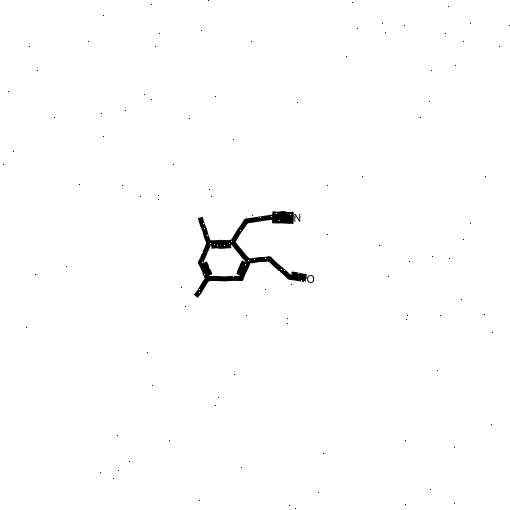 Cc1cc(C)c(CC#N)c(CC=O)c1